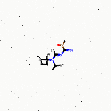 CC/C(=N\C(=N)[S+](C)[O-])N(C(C)C(C)C)C1(C(C)C)CC[C@H]1C